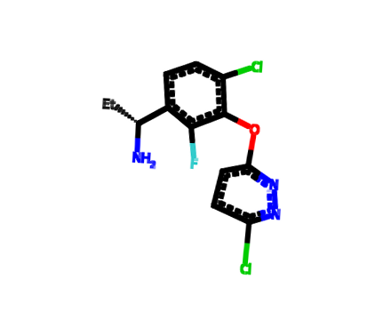 CC[C@@H](N)c1ccc(Cl)c(Oc2ccc(Cl)nn2)c1F